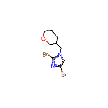 Brc1cn(CC2CCCOC2)c(Br)n1